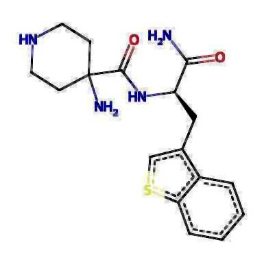 NC(=O)[C@@H](Cc1csc2ccccc12)NC(=O)C1(N)CCNCC1